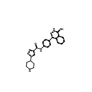 N=c1[nH]nc(-c2ccc(NC(=O)c3cn(C4CCNCC4)nn3)cc2)c2ccccc12